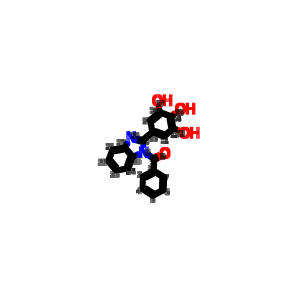 O=C(c1ccccc1)n1c(-c2cc(O)c(O)c(O)c2)nc2ccccc21